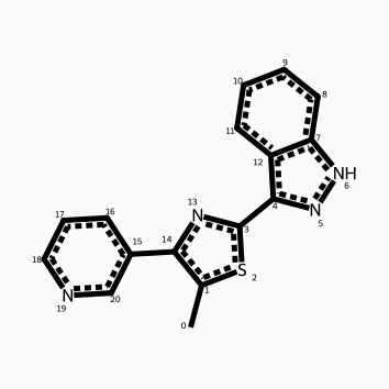 Cc1sc(-c2n[nH]c3ccccc23)nc1-c1cccnc1